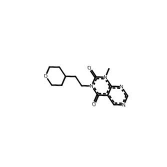 Cn1c(=O)n(CCC2CCOCC2)c(=O)c2cncnc21